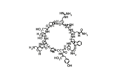 C[C@@H](O)[C@@H]1NC(=O)[C@@H](NC(=O)[C@H](CS)NC(=O)CN)CCc2cn(nn2)CCC(C(=O)N[C@@H](Cc2ccc(O)cc2)C(=O)O)NC(=O)[C@H](CCC(N)=O)NC(=O)[C@H](Cc2c[nH]c3ccccc23)NC(=O)[C@H](CCCNC(N)=O)NC(=O)[C@H](CS)NC(=O)[C@H](CCCNC(=N)N)NC(=O)[C@@H]2CCCN2C(=O)[C@H](CC(=O)O)NC1=O